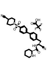 N#CC1CCN(S(=O)(=O)c2ccc(-c3ccc(C[C@@H](C#N)NC(=O)[C@@H]4CCCCN4)cc3)cc2)CC1.O=C(O)C(F)(F)F